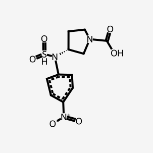 O=C(O)N1CC[C@@H](N(c2ccc([N+](=O)[O-])cc2)[SH](=O)=O)C1